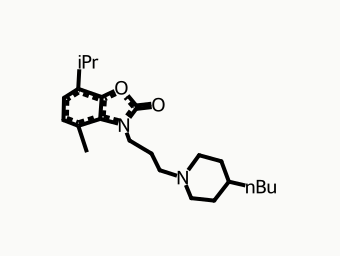 CCCCC1CCN(CCCn2c(=O)oc3c(C(C)C)ccc(C)c32)CC1